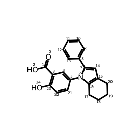 O=C(O)c1cc(-n2c(-c3ccccc3)cc3c2CCCC3)ccc1O